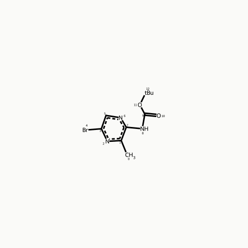 Cc1nc(Br)cnc1NC(=O)OC(C)(C)C